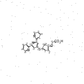 Cc1cc(Sc2cc(-c3ccccn3)nc(-c3ccccn3)c2)ccc1OCC(=O)O